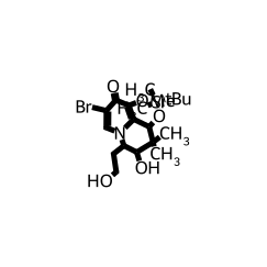 COc1c2n(cc(Br)c1=O)C(CCO)C(O)C(C)(C)C2O[Si](C)(C)C(C)(C)C